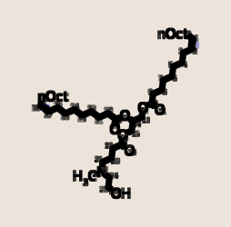 CCCCCCCC/C=C\CCCCCCCC(=O)OCC(COC(=O)CCCN(C)CCO)OC(=O)CCCCCCC/C=C\CCCCCCCC